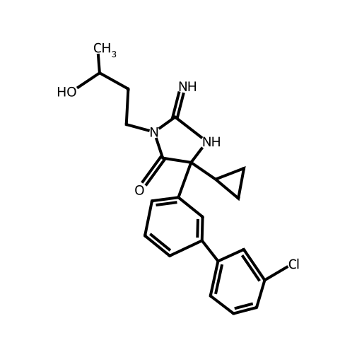 CC(O)CCN1C(=N)NC(c2cccc(-c3cccc(Cl)c3)c2)(C2CC2)C1=O